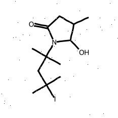 CC1CC(=O)N(C(C)(C)CC(C)(C)I)C1O